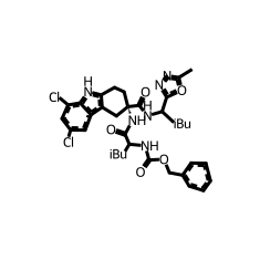 CCC(C)C(NC(=O)OCc1ccccc1)C(=O)N[C@@]1(C(=O)NC(c2nnc(C)o2)C(C)CC)CCc2[nH]c3c(Cl)cc(Cl)cc3c2C1